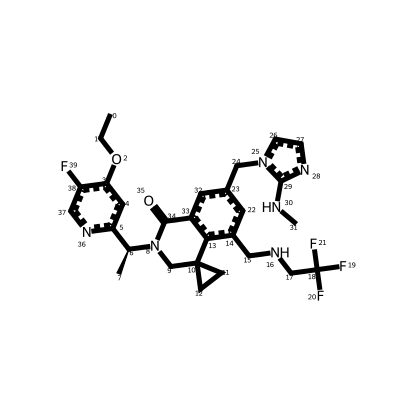 CCOc1cc([C@H](C)N2CC3(CC3)c3c(CNCC(F)(F)F)cc(Cn4ccnc4NC)cc3C2=O)ncc1F